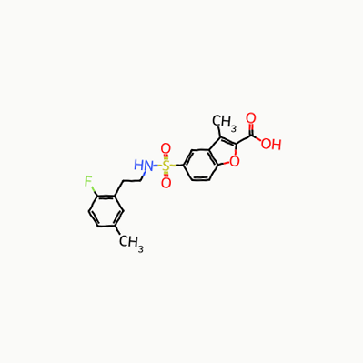 Cc1ccc(F)c(CCNS(=O)(=O)c2ccc3oc(C(=O)O)c(C)c3c2)c1